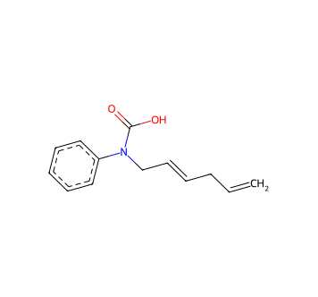 C=CCC=CCN(C(=O)O)c1ccccc1